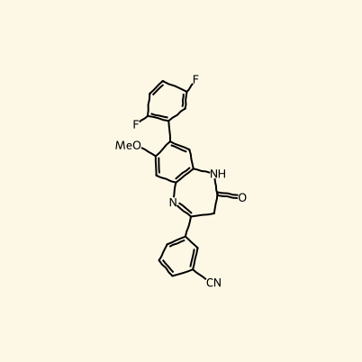 COc1cc2c(cc1-c1cc(F)ccc1F)NC(=O)CC(c1cccc(C#N)c1)=N2